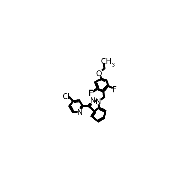 CCOc1cc(F)c(Cn2nc(-c3cc(Cl)ccn3)c3ccccc32)c(F)c1